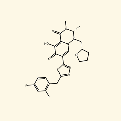 C[C@H]1N(C)C(=O)c2c(O)c(=O)c(-c3nnc(Cc4ccc(F)cc4F)s3)cn2N1C[C@@H]1CCCO1